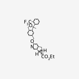 CCOC(=O)[C@H]1[C@@H]2Cc3cc(OCc4ccc5c(c4)C(C)(c4ccccc4C(F)(F)F)OC5)ncc3[C@@H]21